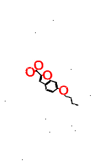 CCCCOc1ccc2cc(C(=O)OC)oc2c1